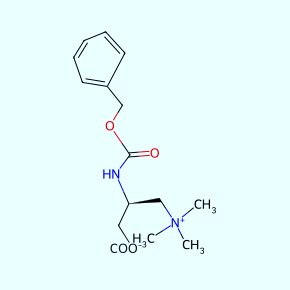 C[N+](C)(C)C[C@@H](CC(=O)[O-])NC(=O)OCc1ccccc1